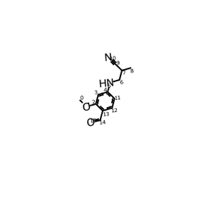 COc1cc(NCC(C)C#N)ccc1C=O